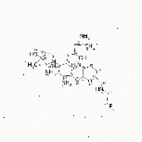 C/C(N)=C\C(O)CC1CC(OC2OC(CNCCF)CCC2N)C(N)CC1NC(=N)C(C)(C)O